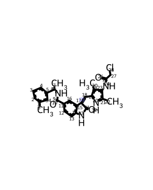 Cc1cccc([C@@H](C)NC(=O)c2ccc3c(c2)/C(=C/c2[nH]c(C)c(NC(=O)CCl)c2C)C(=O)N3)c1